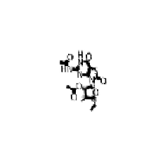 CC[C@H]1O[C@@H](n2c(=O)sc3c(=O)[nH]c(NC(C)=O)nc32)[C@H](OC(C)=O)[C@@H]1C